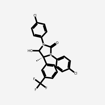 C[C@]1(c2cccc(C(F)(F)F)c2)C(O)N(c2ccc(Cl)cc2)C(=O)N1c1ccc(Cl)cc1